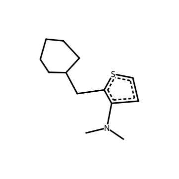 CN(C)c1ccsc1CC1CCCCC1